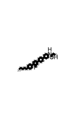 C=CC(O)NC1CCC(C2CCC(c3ccc(C4CCC(CCCCC)CC4)c(F)c3)CC2)CC1